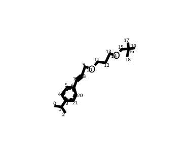 CC(C)c1ccc(C#CCOCCCOCC(C)(C)C)cc1